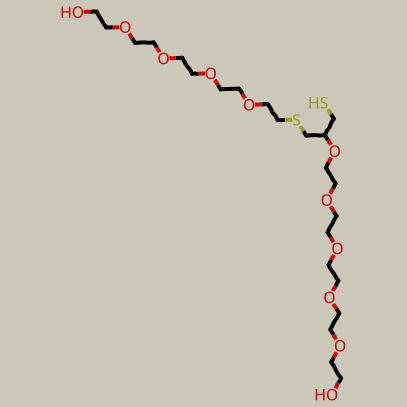 OCCOCCOCCOCCOCCOC(CS)CSCCOCCOCCOCCOCCO